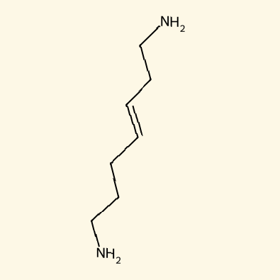 NCCC=CCCCN